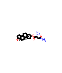 C[C@]12CC[C@H](OC(=O)[C@@H](N)CC(N)=O)CC1CC[C@@H]1[C@@H]2CC[C@]2(C)C(=O)CC[C@@H]12